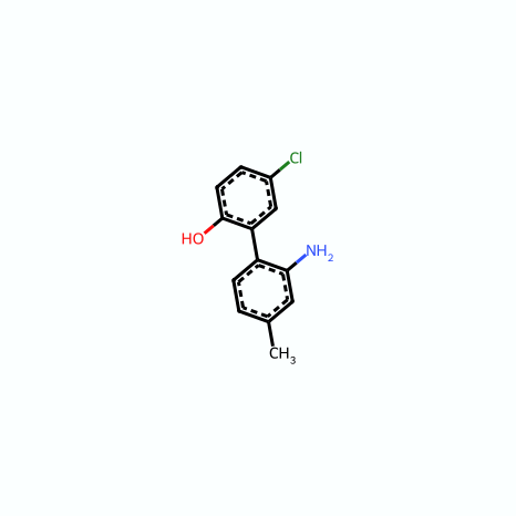 Cc1ccc(-c2cc(Cl)ccc2O)c(N)c1